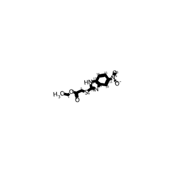 CCOC(=O)CSc1nc2cc([N+](=O)[O-])ccc2[nH]1